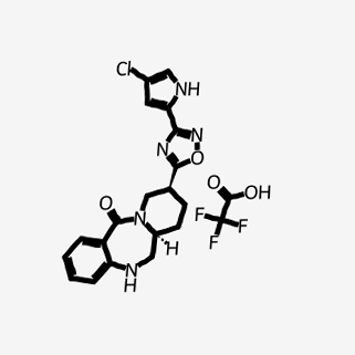 O=C(O)C(F)(F)F.O=C1c2ccccc2NC[C@@H]2CC[C@H](c3nc(-c4cc(Cl)c[nH]4)no3)CN12